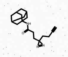 C#CCCC1(CCC(=O)NC23CC4CC(CC(C4)C2)C3)N=N1